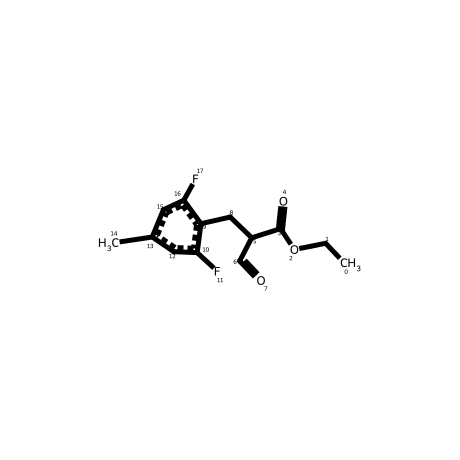 CCOC(=O)C(C=O)Cc1c(F)cc(C)cc1F